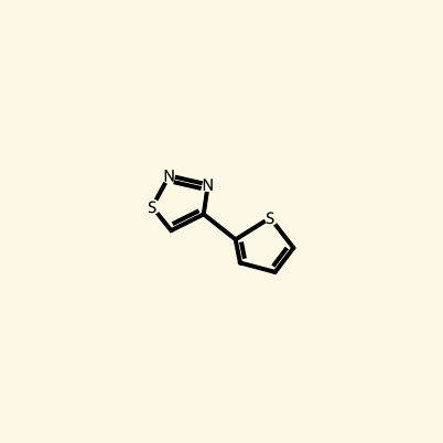 c1csc(-c2csnn2)c1